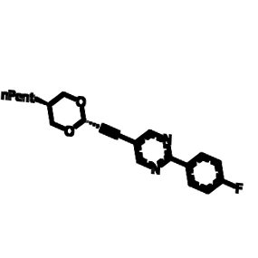 CCCCC[C@H]1CO[C@H](C#Cc2cnc(-c3ccc(F)cc3)nc2)OC1